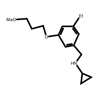 CCc1cc(CNC2CC2)cc(OCCCOC)c1